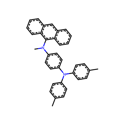 Cc1ccc(N(c2ccc(C)cc2)c2ccc(N(C)c3c4ccccc4cc4ccccc34)cc2)cc1